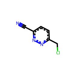 N#Cc1ccc(CCl)nn1